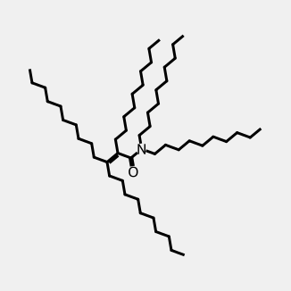 CCCCCCCCCCC(CCCCCCCCCC)=C(CCCCCCCCCC)C(=O)N(CCCCCCCCCC)CCCCCCCCCC